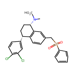 CN(C(=O)O)[C@H]1CC[C@@H](c2ccc(Cl)c(Cl)c2)c2ccc(CS(=O)(=O)c3ccccc3)cc21